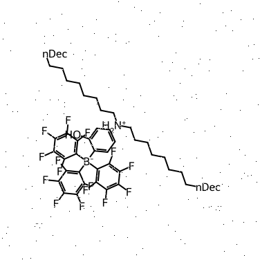 CCCCCCCCCCCCCCCCCC[NH2+]CCCCCCCCCCCCCCCCCC.Oc1ccccc1[B-](c1c(F)c(F)c(F)c(F)c1F)(c1c(F)c(F)c(F)c(F)c1F)c1c(F)c(F)c(F)c(F)c1F